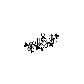 C=C[C@@H]1C[C@]1(NC(=O)[C@@H]1CC(=O)CN1C(=O)[C@@H](NC(=O)OC(C)(C)C)C(C)(C)C)C(=O)NS(=O)(=O)C1CC1